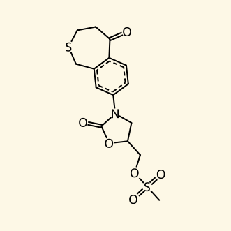 CS(=O)(=O)OCC1CN(c2ccc3c(c2)CSCCC3=O)C(=O)O1